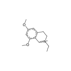 CC[N+]1=Cc2c(cc(OC)cc2OC)CC1